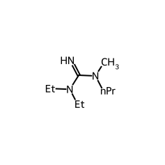 CCCN(C)C(=N)N(CC)CC